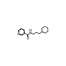 O=C(NCCCN1CCCCC1)c1cccnc1